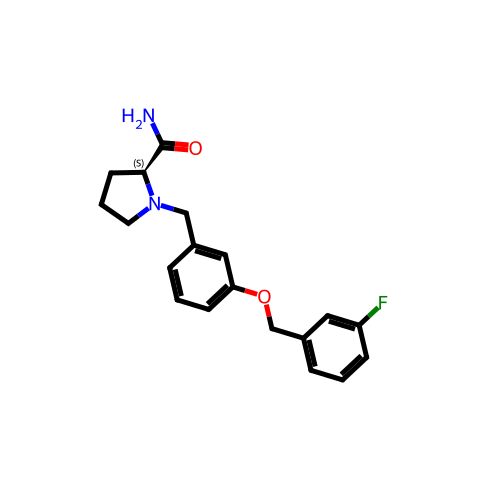 NC(=O)[C@@H]1CCCN1Cc1cccc(OCc2cccc(F)c2)c1